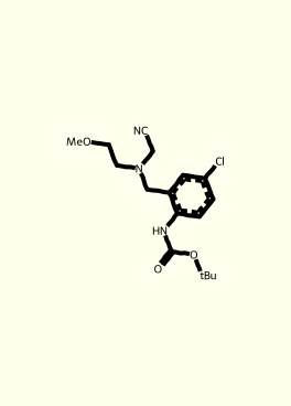 COCCN(CC#N)Cc1cc(Cl)ccc1NC(=O)OC(C)(C)C